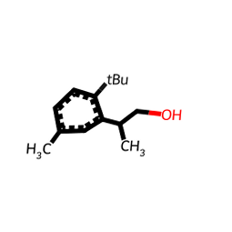 C[C](CO)c1cc(C)ccc1C(C)(C)C